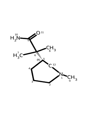 CN1CCC[C@H](C(C)(C)C(N)=O)C1